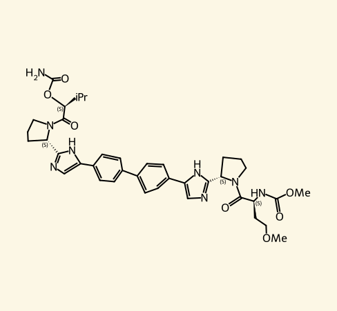 COCC[C@H](NC(=O)OC)C(=O)N1CCC[C@H]1c1ncc(-c2ccc(-c3ccc(-c4cnc([C@@H]5CCCN5C(=O)[C@@H](OC(N)=O)C(C)C)[nH]4)cc3)cc2)[nH]1